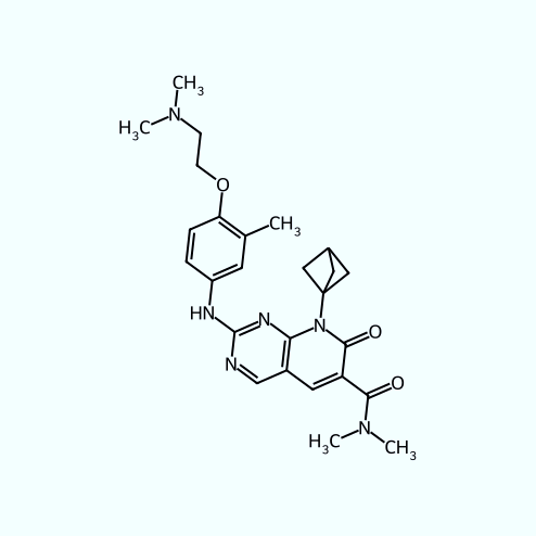 Cc1cc(Nc2ncc3cc(C(=O)N(C)C)c(=O)n(C45CC(C4)C5)c3n2)ccc1OCCN(C)C